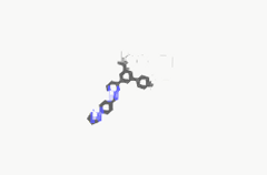 CCOC(=O)C(CC(C)C)c1cc(-c2ccc(C(F)(F)F)cc2)cc(C2CCCN(Cc3ccc(-n4cccc4)cc3)C2)c1